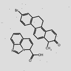 CC1C(=O)C=Cc2c1ccc1c2CCc2cc(Br)ccc2-1.O=C(O)C1C=Cc2cccc3ncn1c23